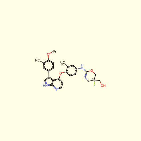 CC(C)Oc1ccc(-c2c[nH]c3nccc(Oc4ccc(NC5=NC[C@@](F)(CO)CO5)cc4C(F)(F)F)c23)cc1C#N